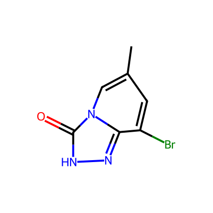 Cc1cc(Br)c2n[nH]c(=O)n2c1